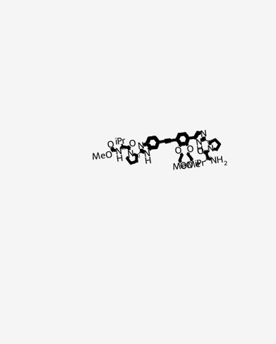 COCCOc1c(C#Cc2ccc3nc([C@@H]4CCCN4C(=O)[C@@H](NC(=O)OC)C(C)C)[nH]c3c2)ccc(-c2cnc([C@@H]3CCCN3C(=O)[C@H](N)C(C)C)[nH]2)c1OCCOC